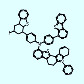 IC1CC(C2=CCC(N(c3ccc(-c4cccc5c4sc4ccccc45)cc3)c3cccc4c5c(sc34)-c3c4c(n(-c6ccccc6)c3CC5)CCC=C4)C=C2)C2Sc3ccccc3C2C1